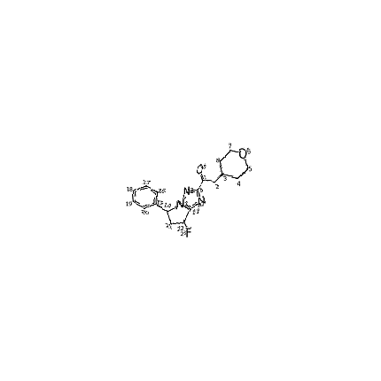 O=C(CC1CCOCC1)c1nc2n(n1)C(c1ccccc1)CC2F